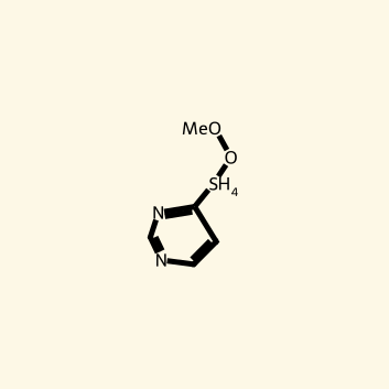 COO[SH4]c1ccncn1